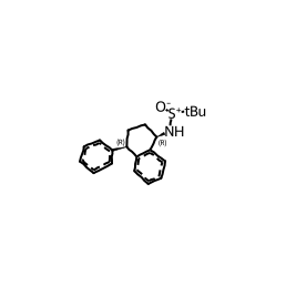 CC(C)(C)[S+]([O-])N[C@@H]1CC[C@H](c2ccccc2)c2ccccc21